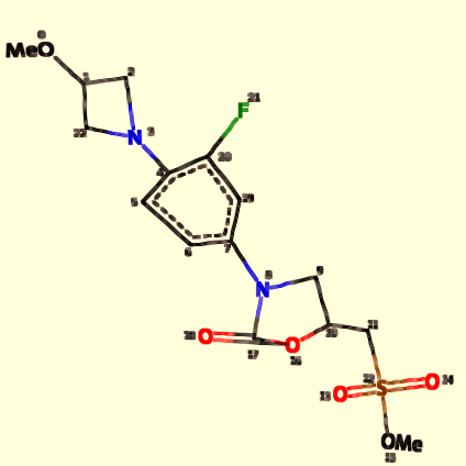 COC1CN(c2ccc(N3CC(CS(=O)(=O)OC)OC3=O)cc2F)C1